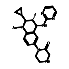 CC(=O)N1c2ccc(N3CCNCC3=O)cc2[C@H](Nc2ncccn2)[C@@H](C)C1C1CC1